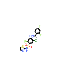 C[C@H](Nc1cc(F)c(S(=O)(=O)Nc2nccs2)cc1Cl)c1ccc(F)cc1F